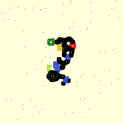 CC1=NN(c2c(F)cccc2CN(C)C)CC1CN1CCC2(CC1)OCCc1cc(Cl)sc12